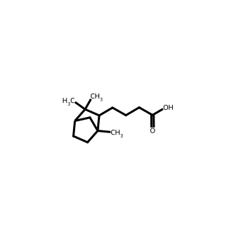 CC12CCC(C1)C(C)(C)C2CCCC(=O)O